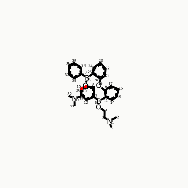 CN(C)CCOB(c1ccccc1)c1ccccc1Oc1ccccc1B(OCCN(C)C)c1ccccc1